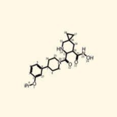 CC(C)Oc1cccc(C2CCN(C(=O)C3NCC4(CC4)CC3C(=O)NO)CC2)c1